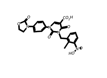 Cc1c(Cn2c(=O)c(C(=O)O)cn(-c3ccc(N4CCOC4=O)cc3)c2=O)cccc1[N+](=O)O